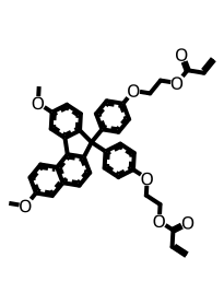 C=CC(=O)OCCOc1ccc(C2(c3ccc(OCCOC(=O)C=C)cc3)c3ccc(OC)cc3-c3c2ccc2cc(OC)ccc32)cc1